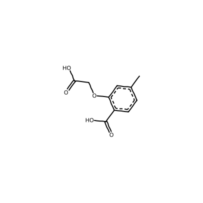 Cc1ccc(C(=O)O)c(OCC(=O)O)c1